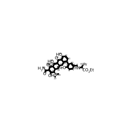 CCOC(=O)C(NCc1ccc(OC)c(-c2ccc(O)c3c2CC2CC4C(N(C)C)C(O)=C(C(N)=O)C(=O)C4(O)C(O)=C2C3=O)c1)C(C)C